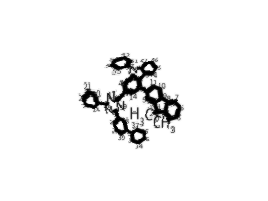 CC1(C)c2ccccc2-c2ccc(-c3cc(-c4nc(-c5ccccc5)nc(-c5cccc(-c6ccccc6)c5)n4)cc4c3c3ccccc3n4-c3ccccc3)cc21